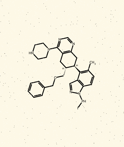 Cc1ccc2c(cnn2PI)c1[C@@H]1Cc2ncnc(N3CCNCC3)c2C[C@H]1COCc1ccccc1